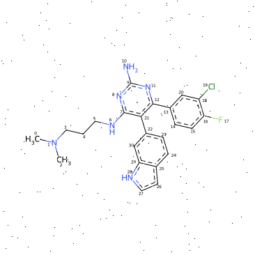 CN(C)CCCNc1nc(N)nc(-c2ccc(F)c(Cl)c2)c1-c1ccc2cc[nH]c2c1